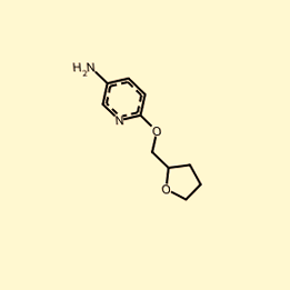 Nc1ccc(OCC2CCCO2)nc1